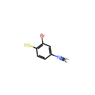 [C-]#[N+]c1ccc(S)c(Br)c1